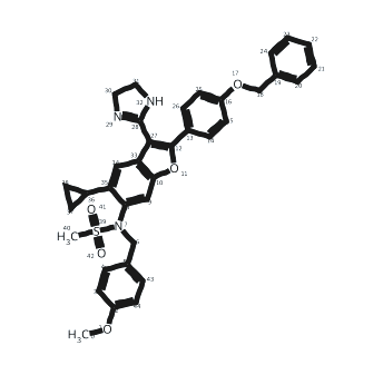 COc1ccc(CN(c2cc3oc(-c4ccc(OCc5ccccc5)cc4)c(C4=NCCN4)c3cc2C2CC2)S(C)(=O)=O)cc1